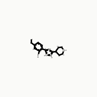 CCc1ccc(-c2nc(C3CCOCC3)no2)c(F)c1